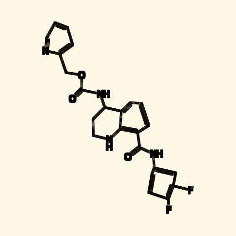 O=C(NC1CCNc2c(C(=O)Nc3ccc(F)c(F)c3)cccc21)OCc1ccccn1